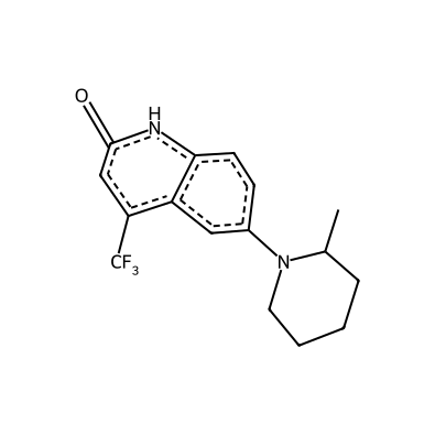 CC1CCCCN1c1ccc2[nH]c(=O)cc(C(F)(F)F)c2c1